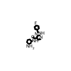 NC1CCCC(NC(=O)c2ccnc3[nH]c(-c4ccc(F)cc4)nc23)C1